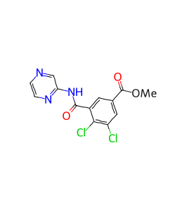 COC(=O)c1cc(Cl)c(Cl)c(C(=O)Nc2cnccn2)c1